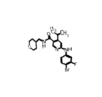 CC(C)c1cc(Nc2ccc(Br)c(F)c2)ncc1C(=O)NCC1CCOCC1